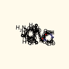 COc1cc2cc(c1Cl)N(C)C(=O)C/C=C(\OC(=O)[C@H](C)N(C)C(=O)CCSSCCNC(=O)[C@H](Cc1c[nH]c3ccccc13)NC(=O)[C@@H]1CSSC[C@H](NC(=O)[C@H](N)Cc3ccccc3)C(=O)N[C@@H](Cc3ccc(O)cc3)C(=O)N[C@H](Cc3c[nH]c4ccccc34)C(=O)N[C@@H](CCCCN)C(=O)N[C@@H]([C@@H](C)O)C(=O)N1)[C@]1(C)O[C@H]1[C@H](C)[C@@H]1C[C@@](O)(NC(=O)O1)[C@H](OC)/C=C/C=C(\C)C2